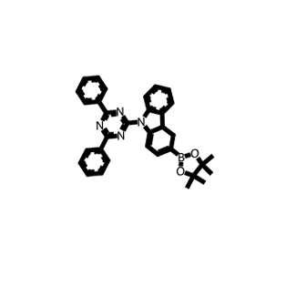 CC1(C)OB(C2=CC=C3C(C2)c2ccccc2N3c2nc(-c3ccccc3)nc(-c3ccccc3)n2)OC1(C)C